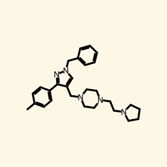 Cc1ccc(-c2nn(Cc3ccccc3)cc2CN2CCN(CCN3CCCC3)CC2)cc1